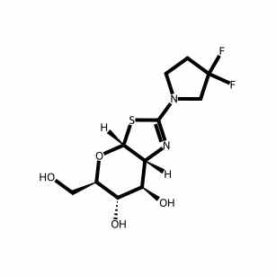 OC[C@H]1O[C@@H]2SC(N3CCC(F)(F)C3)=N[C@@H]2[C@@H](O)[C@@H]1O